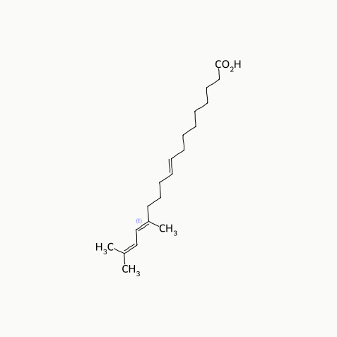 CC(C)=C/C=C(\C)CCCC=CCCCCCCCC(=O)O